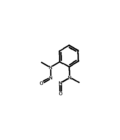 CN(N=O)c1ccccc1N(C)N=O